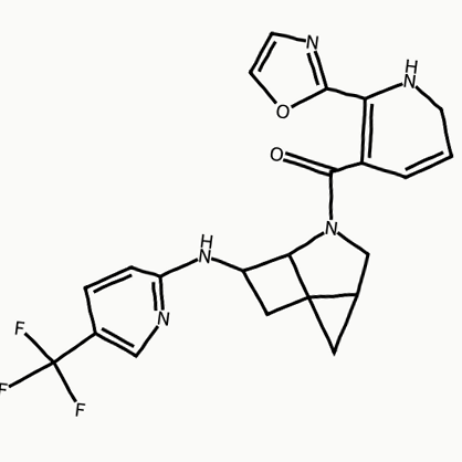 O=C(C1=C(c2ncco2)NCC=C1)N1CC2CC23CC(Nc2ccc(C(F)(F)F)cn2)C13